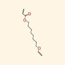 C=COCCCCCCCCOC(=O)C=C